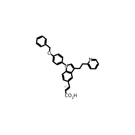 O=C(O)/C=C/c1ccc2c(c1)c(CCc1ccccn1)cn2-c1ccc(OCc2ccccc2)cc1